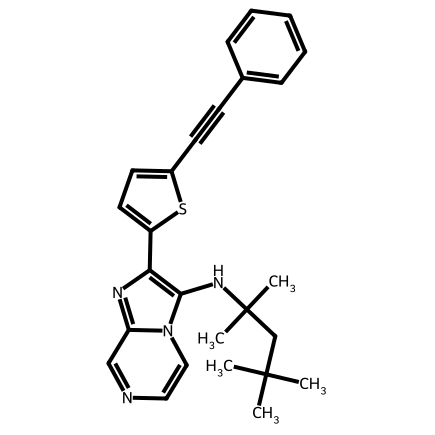 CC(C)(C)CC(C)(C)Nc1c(-c2ccc(C#Cc3ccccc3)s2)nc2cnccn12